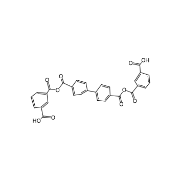 O=C(O)c1cccc(C(=O)OC(=O)c2ccc(-c3ccc(C(=O)OC(=O)c4cccc(C(=O)O)c4)cc3)cc2)c1